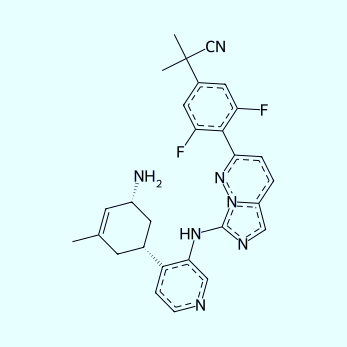 CC1=C[C@H](N)C[C@H](c2ccncc2Nc2ncc3ccc(-c4c(F)cc(C(C)(C)C#N)cc4F)nn23)C1